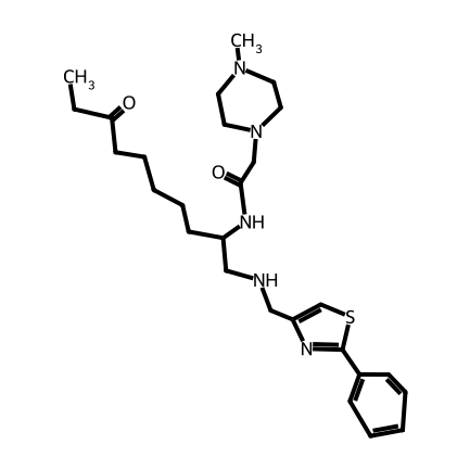 CCC(=O)CCCCCC(CNCc1csc(-c2ccccc2)n1)NC(=O)CN1CCN(C)CC1